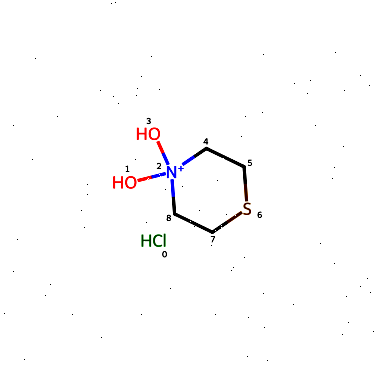 Cl.O[N+]1(O)CCSCC1